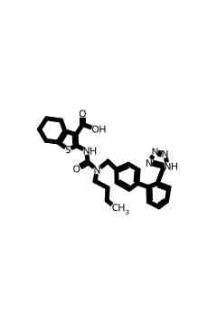 CCCCN(Cc1ccc(-c2ccccc2-c2nnn[nH]2)cc1)C(=O)Nc1sc2c(c1C(=O)O)CCCC2